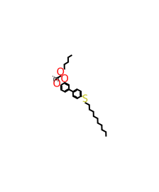 CCCCCCCCCCCSc1ccc(-c2ccc(O[C@H](C)C(=O)OCCCCC)cc2)cc1